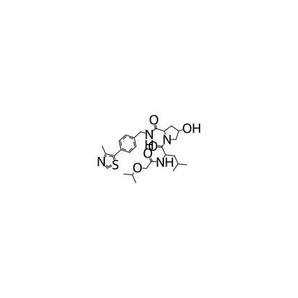 Cc1ncsc1-c1ccc(CNC(=O)C2CC(O)CN2C(=O)C(CC(C)C)NC(=O)COC(C)C)cc1